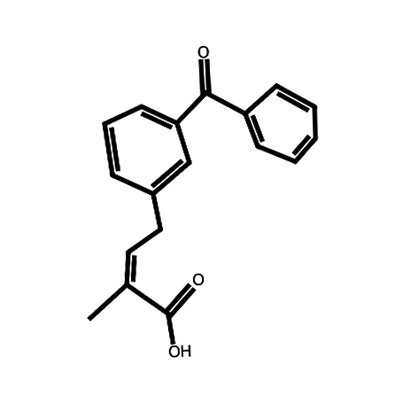 CC(=CCc1cccc(C(=O)c2ccccc2)c1)C(=O)O